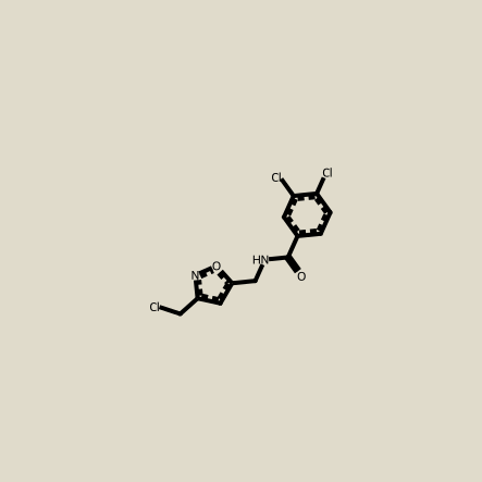 O=C(NCc1cc(CCl)no1)c1ccc(Cl)c(Cl)c1